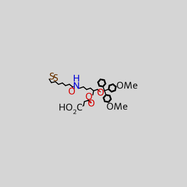 COc1ccc(C(OCC(CCCCNC(=O)CCCCC2CCSS2)COC(=O)CCC(=O)O)(c2ccccc2)c2ccc(OC)cc2)cc1